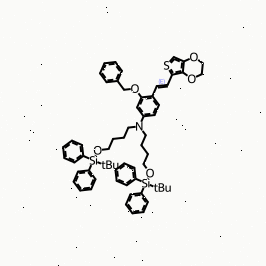 CC(C)(C)[Si](OCCCCN(CCCCO[Si](c1ccccc1)(c1ccccc1)C(C)(C)C)c1ccc(/C=C/c2scc3c2OCCO3)c(OCc2ccccc2)c1)(c1ccccc1)c1ccccc1